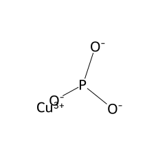 [Cu+3].[O-]P([O-])[O-]